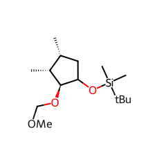 COCO[C@@H]1C(O[Si](C)(C)C(C)(C)C)C[C@@H](C)[C@H]1C